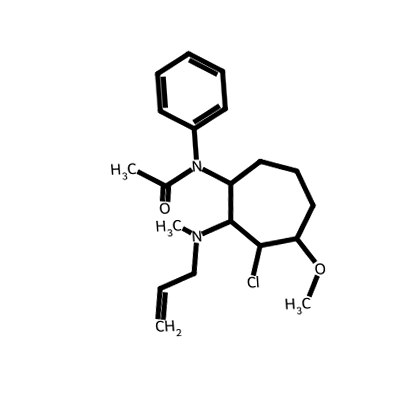 C=CCN(C)C1C(Cl)C(OC)CCCC1N(C(C)=O)c1ccccc1